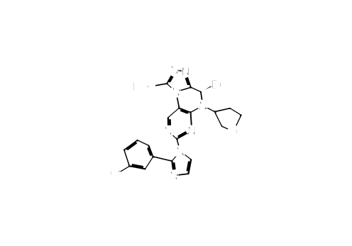 CC[C@@H]1c2nnc(C)n2-c2cnc(-n3ccnc3-c3cccc(Cl)c3)nc2N1C1CCOC1